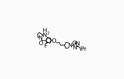 CC(C)c1noc(N2CCC(CCCOc3ccc(C(=O)N4CCCC4N)c(F)c3)CC2)n1